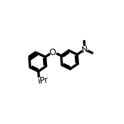 CC(C)c1cc#cc(Oc2cccc(N(C)C)c2)c1